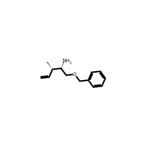 C=C[C@H](C)[C@H](N)COCc1ccccc1